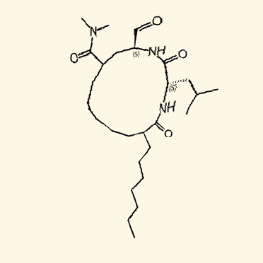 CCCCCCCC1CCCCCC(C(=O)N(C)C)C[C@@H](C=O)NC(=O)[C@H](CC(C)C)NC1=O